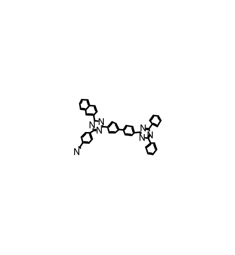 N#Cc1ccc(-c2nc(-c3ccc(-c4ccc(-c5nc(-c6ccccc6)nc(-c6ccccc6)n5)cc4)cc3)nc(-c3ccc4ccccc4c3)n2)cc1